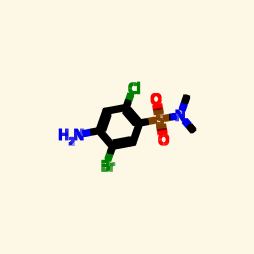 CN(C)S(=O)(=O)c1cc(Br)c(N)cc1Cl